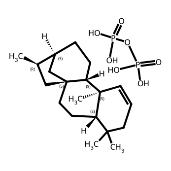 C[C@@H]1C[C@]23CC[C@H]4C(C)(C)CC=C[C@]4(C)[C@H]2CC[C@H]1C3.O=P(O)(O)OP(=O)(O)O